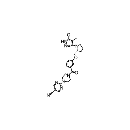 Cc1c(N2CCC[C@@H]2COc2cccc(C(=O)N3CCN(c4ncc(C#N)cn4)CC3)c2)cn[nH]c1=O